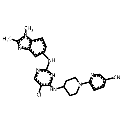 Cc1nc2cc(Nc3ncc(Cl)c(NC4CCN(c5ccc(C#N)cn5)CC4)n3)ccc2n1C